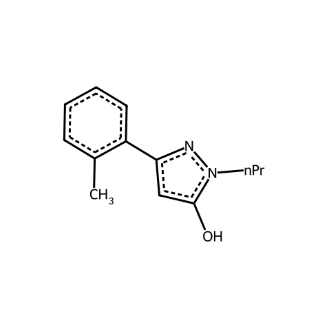 CCCn1nc(-c2ccccc2C)cc1O